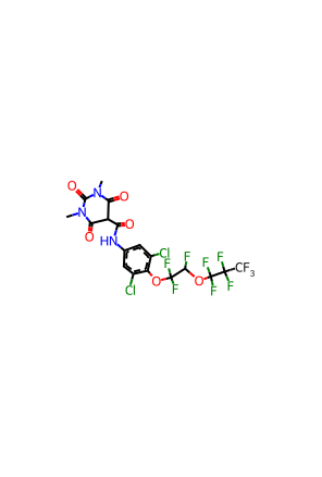 CN1C(=O)C(C(=O)Nc2cc(Cl)c(OC(F)(F)C(F)OC(F)(F)C(F)(F)C(F)(F)F)c(Cl)c2)C(=O)N(C)C1=O